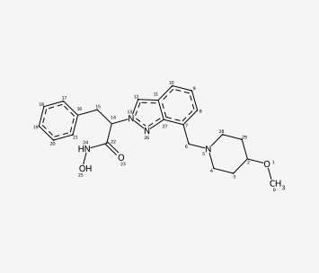 COC1CCN(Cc2cccc3cn(C(Cc4ccccc4)C(=O)NO)nc23)CC1